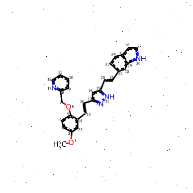 COc1ccc(OCc2ccccn2)c(/C=C/c2cc(/C=C/c3ccc4cc[nH]c4c3)[nH]n2)c1